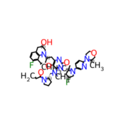 C#Cc1c(F)ccc2c1N([C@@H]1COc3c(nc(OC[C@]4(C)C[C@@H](F)CN4c4ccc(N5CCOC[C@H]5C)nc4)nc3N(C)C[C@@H]3CCCN3C(=O)C=C)C1)C[C@H](O)C2